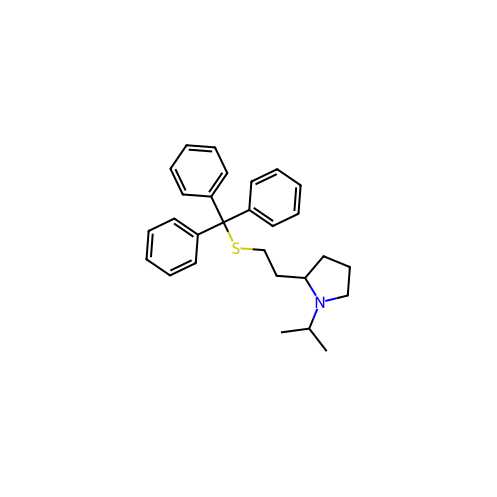 CC(C)N1CCCC1CCSC(c1ccccc1)(c1ccccc1)c1ccccc1